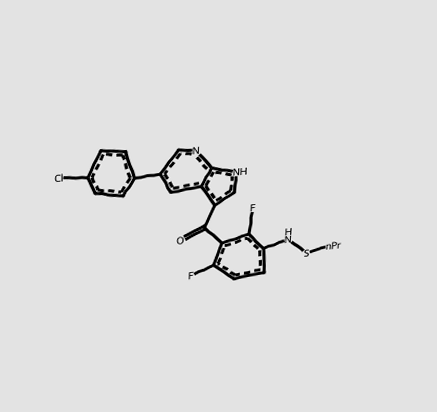 CCCSNc1ccc(F)c(C(=O)c2c[nH]c3ncc(-c4ccc(Cl)cc4)cc23)c1F